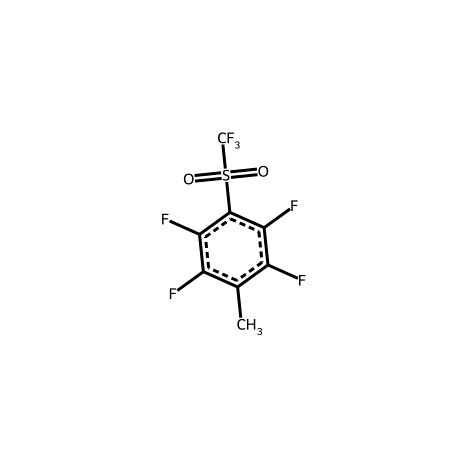 Cc1c(F)c(F)c(S(=O)(=O)C(F)(F)F)c(F)c1F